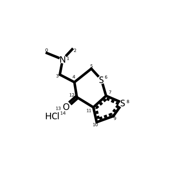 CN(C)CC1CSc2sccc2C1=O.Cl